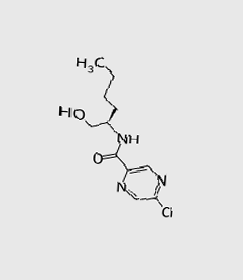 CCCC[C@H](CO)NC(=O)c1cnc(Cl)cn1